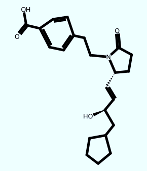 O=C(O)c1ccc(CCN2C(=O)CC[C@@H]2/C=C/[C@H](O)CC2CCCC2)cc1